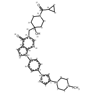 CN1CCN(c2cnn(-c3ccc(-n4ncc5c(=O)n(CC6(O)CCN(C(=O)C7CC7)CC6)cnc54)cc3)c2)CC1